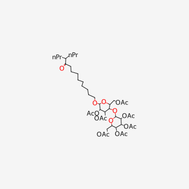 CCCC(CCC)C(=O)CCCCCCCCCOC1OC(COC(C)=O)C(OC2OC(COC(C)=O)C(OC(C)=O)C(OC(C)=O)C2OC(C)=O)C(OC(C)=O)C1OC(C)=O